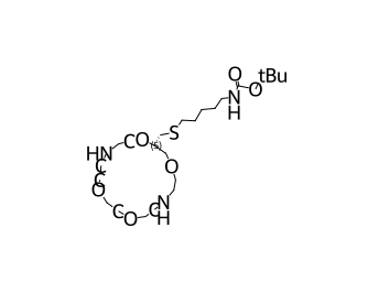 CC(C)(C)OC(=O)NCCCCCSC[C@@H]1COCCNCCOCCOCCNCCO1